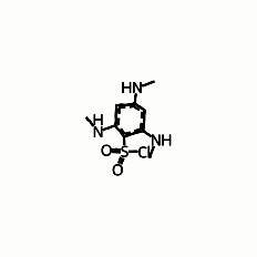 CNc1cc(NC)c(S(=O)(=O)Cl)c(NC)c1